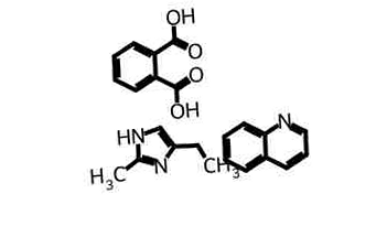 CCc1c[nH]c(C)n1.O=C(O)c1ccccc1C(=O)O.c1ccc2ncccc2c1